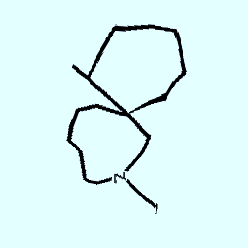 CC1CCCC[C@@]12CCCN(I)C2